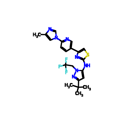 Cc1cn(-c2ccc(-c3csc(Nc4cc(C(C)(C)C)nn4CC(F)(F)F)n3)cn2)cn1